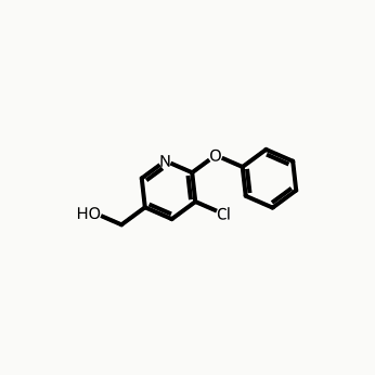 OCc1cnc(Oc2ccccc2)c(Cl)c1